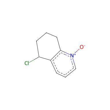 [O-][n+]1cccc2c1CCCC2Cl